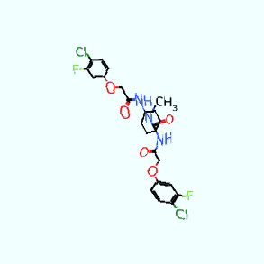 CN1C(=O)C2(NC(=O)COc3ccc(Cl)c(F)c3)CCC1(NC(=O)COc1ccc(Cl)c(F)c1)CC2